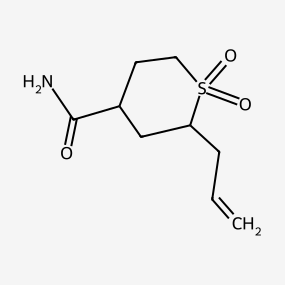 C=CCC1CC(C(N)=O)CCS1(=O)=O